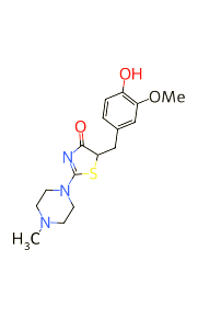 COc1cc(CC2SC(N3CCN(C)CC3)=NC2=O)ccc1O